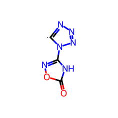 O=c1[nH]c(-n2[c]nnn2)no1